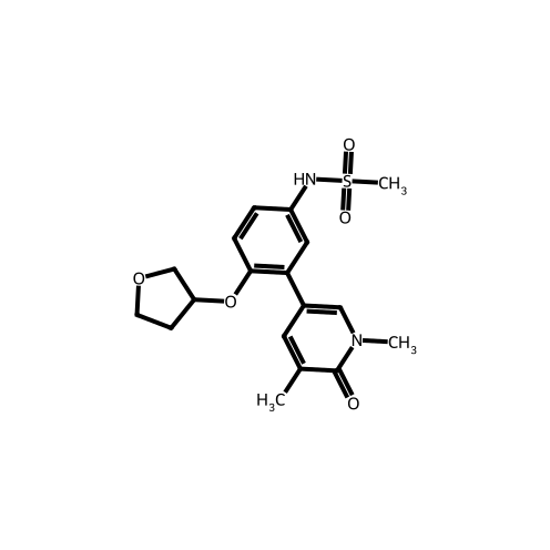 Cc1cc(-c2cc(NS(C)(=O)=O)ccc2OC2CCOC2)cn(C)c1=O